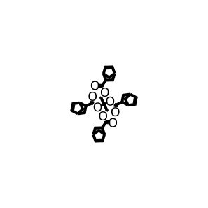 O=C(OCC(COC(=O)C1CC2C=CC1C2)(OC(=O)C1CC2C=CC1C2)OC(=O)C1CC2C=CC1C2)C1CC2C=CC1C2